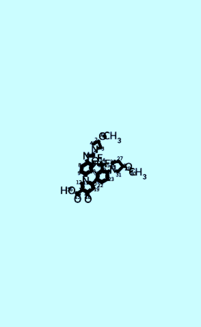 COC1CN(c2nc3ccc(-n4cc(C(=O)O)c(=O)cc4-c4ccc(N5CCC(OC)C5)c(C(F)(F)F)c4)cc3o2)C1